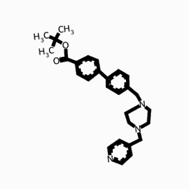 CC(C)(C)OC(=O)c1ccc(-c2ccc(CN3CCN(Cc4ccncc4)CC3)cc2)cc1